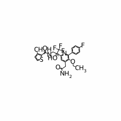 CCOc1c(CC(N)=O)cc([C@@](O)(CNC(=O)c2sccc2C)C(F)(F)F)nc1-c1ccc(F)cc1